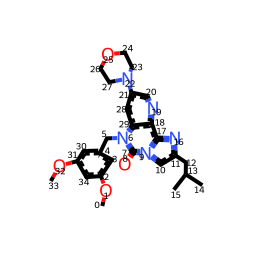 COc1cc(Cn2c(=O)n3cc(CC(C)C)nc3c3ncc(N4CCOCC4)cc32)cc(OC)c1